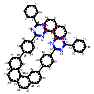 c1ccc(-c2nc(-c3ccccc3)nc(-c3ccc(-c4ccc5ccc6ccc7ccc(-c8ccc(-c9nc(-c%10ccccc%10)nc(-c%10ccccc%10)n9)cc8)cc7c6c5c4)cc3)n2)cc1